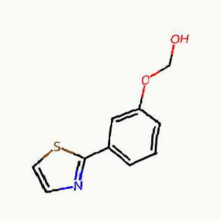 OCOc1cccc(-c2nccs2)c1